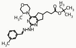 Cc1cccc(/C=N/Nc2nc3c(c(N4CCOC[C@H]4C)n2)CC(CCC(=O)OC(C)(C)C)C3)c1